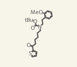 COc1ccccc1CCN(CCCCCC(=O)c1cccs1)C(=O)OC(C)(C)C